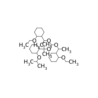 CCOC1CCCCC1C(C)OC(OC(C)C1CCCCC1OCC)OC(C)(C)C1CCCCC1OC(C)C